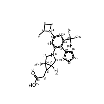 CC1CCN1c1nc(N2C[C@@H]3C(CC(=O)O)[C@@H]3C2)c(-c2cccs2)c(C(F)(F)F)n1